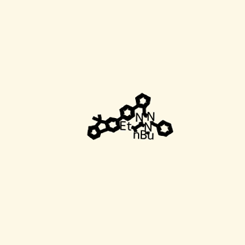 CCCCC(CC)C1=NC(c2ccccc2-c2ccc(-c3ccc4c(c3)C(C)(C)c3ccccc3-4)cc2)=NC(c2ccccc2)N1C